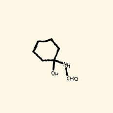 O=CNC1(O)CCCCC1